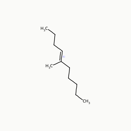 CCC/C=C(\C)CCCCC